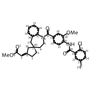 COC(=O)C=C1CC[C@@]2(CCN(C(=O)c3ccc(NC(=O)c4cc(F)ccc4Cl)c(OC)c3)c3ccccc3C2)C1